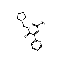 CC(=S)C=C(C(=O)NCN1CCCC1)c1ccccn1